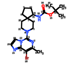 Cc1nc(N2CCC3(CCC[C@H]3NC(=O)OC(C)(C)C)CC2)n2ccnc2c1Br